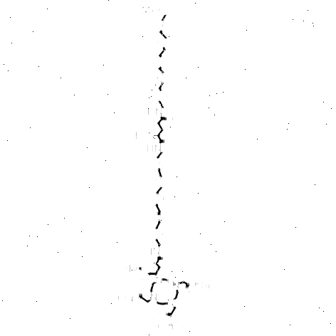 COCCOCCOCCOCCOCCOCCNC(=O)CC[C@H](N)C(=O)NCCOCCOCCOCCOCCOCCNC(=O)CCC(C(=O)OC(C)(C)C)N1CCN(CC(=O)OC(C)(C)C)CCN(CC(=O)OC(C)(C)C)CCN(CC(=O)OC(C)(C)C)CC1